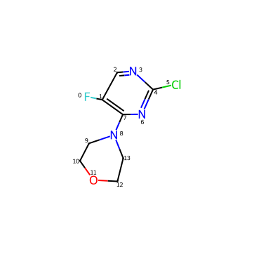 Fc1cnc(Cl)nc1N1CCOCC1